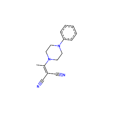 CC(=C(C#N)C#N)N1CCN(c2ccccc2)CC1